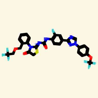 O=C(/N=C1\SCC(=O)N1c1ccccc1COCC(F)(F)F)Nc1ccc(-c2ncn(-c3ccc(OC(F)(F)F)cc3)n2)cc1F